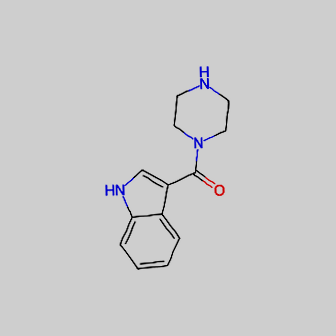 O=C(c1c[nH]c2ccccc12)N1CCNCC1